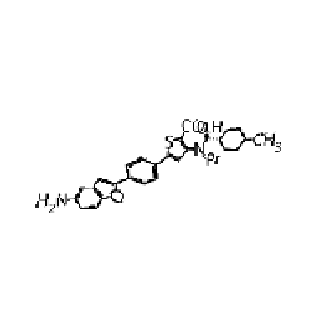 CC(C)N(c1cc(-c2ccc(-c3cc4cc(N)ccc4o3)cc2)sc1C(=O)O)C(=O)[C@H]1CC[C@H](C)CC1